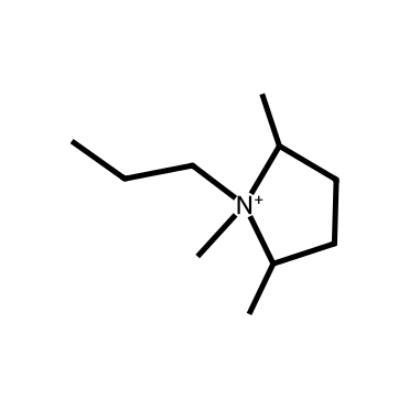 CCC[N+]1(C)C(C)CCC1C